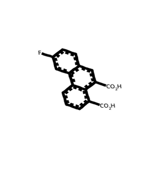 O=C(O)c1cccc2c1c(C(=O)O)cc1ccc(F)cc12